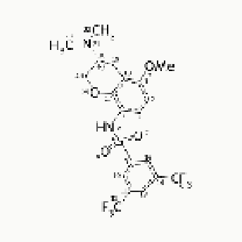 COc1ccc(NS(=O)(=O)c2cc(C(F)(F)F)cc(C(F)(F)F)c2)c2c1C[C@@H](N(C)C)CO2